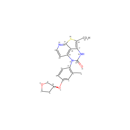 Cc1cc(O[C@H]2CCOC2)ccc1N1C(=O)Nc2c(C(=O)O)sc3nccc1c23